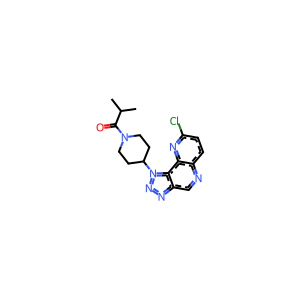 CC(C)C(=O)N1CCC(n2nnc3cnc4ccc(Cl)nc4c32)CC1